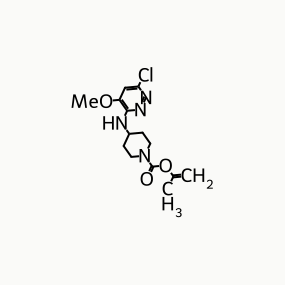 C=C(C)OC(=O)N1CCC(Nc2nnc(Cl)cc2OC)CC1